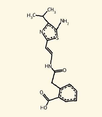 CC(C)c1nc(C=CNC(=O)Cc2ccccc2C(=O)O)sc1N